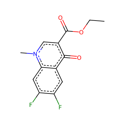 CCOC(=O)c1cn(C)c2cc(F)c(F)cc2c1=O